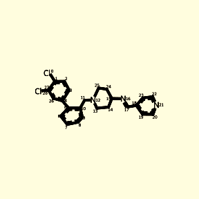 Clc1ccc(-c2ccccc2CN2CCC(N=Cc3ccncc3)CC2)cc1Cl